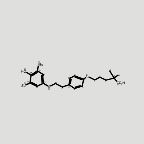 CC(C)(CCCOc1ccc(CCSc2cc(C(C)(C)C)c(O)c(C(C)(C)C)c2)cc1)C(=O)O